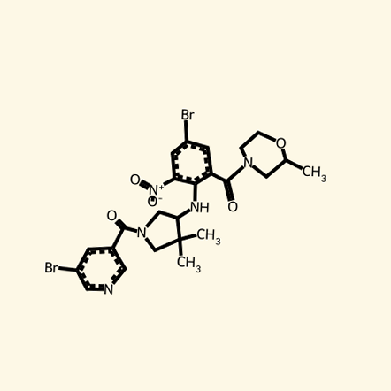 CC1CN(C(=O)c2cc(Br)cc([N+](=O)[O-])c2NC2CN(C(=O)c3cncc(Br)c3)CC2(C)C)CCO1